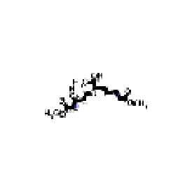 COC(=O)/C=C/C=C/C(OCC/C(C)=C/C(=O)OC)C(C)O